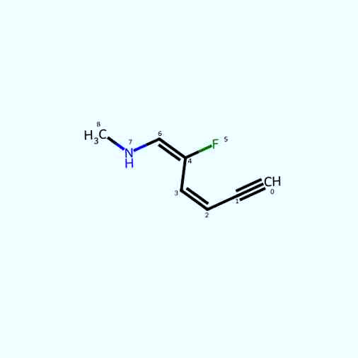 C#C/C=C\C(F)=C/NC